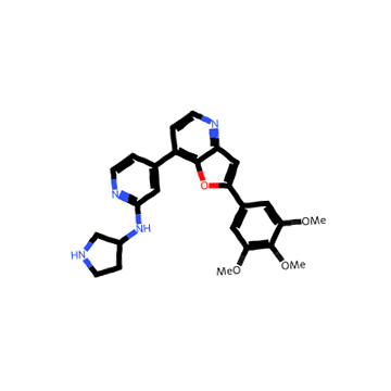 COc1cc(-c2cc3nccc(-c4ccnc(NC5CCNC5)c4)c3o2)cc(OC)c1OC